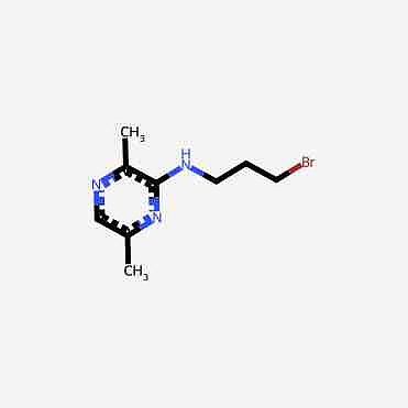 Cc1cnc(C)c(NCCCBr)n1